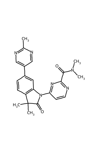 Cc1ncc(-c2ccc3c(c2)N(c2ccnc(C(=O)N(C)C)n2)C(=O)C3(C)C)cn1